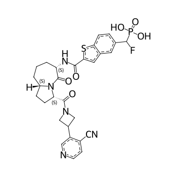 N#Cc1ccncc1C1CN(C(=O)[C@@H]2CC[C@@H]3CCC[C@H](NC(=O)c4cc5cc(C(F)P(=O)(O)O)ccc5s4)C(=O)N32)C1